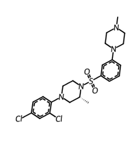 C[C@@H]1CN(c2ccc(Cl)cc2Cl)CCN1S(=O)(=O)c1cccc(N2CCN(C)CC2)c1